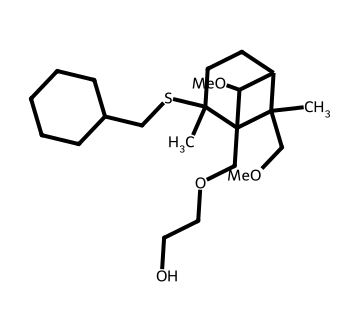 COCC1(C)C2CCC(C)(SCC3CCCCC3)C1(COCCO)C2OC